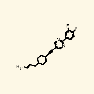 C/C=C/CC1CCC(C#Cc2cnc(-c3ccc(F)c(F)c3)nc2)CC1